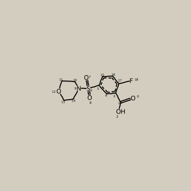 O=C(O)c1cc(S(=O)(=O)N2CCOCC2)ccc1F